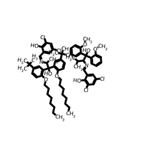 CCCCCCCCOc1ccc(C(C)(C)C)cc1C(O)(c1cc(C(C)(C)C)ccc1OCCCCCCCC)C(C)N=Cc1cc(Cl)cc(Cl)c1O.COc1ccccc1C(O)(c1ccccc1OC)C(N=Cc1cc(Cl)cc(Cl)c1O)C(C)C